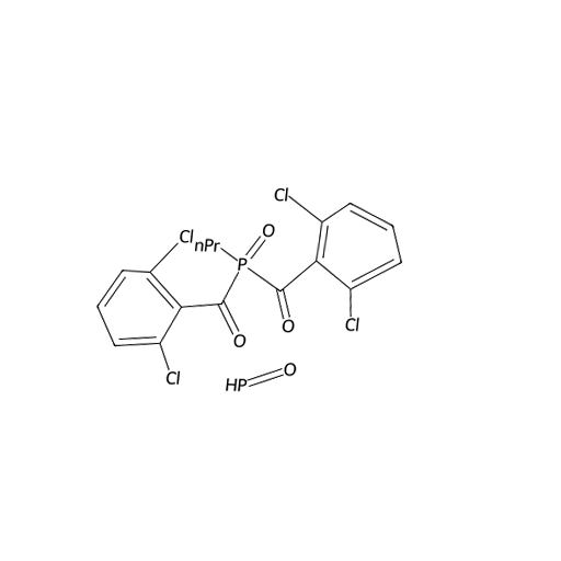 CCCP(=O)(C(=O)c1c(Cl)cccc1Cl)C(=O)c1c(Cl)cccc1Cl.O=P